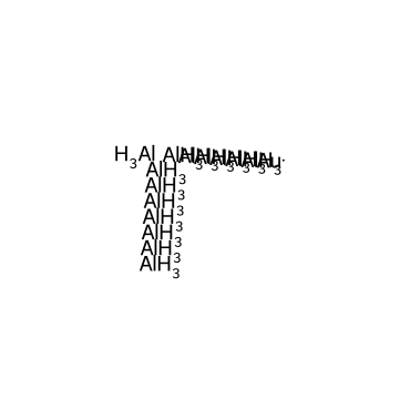 [AlH3].[AlH3].[AlH3].[AlH3].[AlH3].[AlH3].[AlH3].[AlH3].[AlH3].[AlH3].[AlH3].[AlH3].[AlH3].[AlH3].[Au]